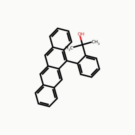 CC(C)(O)c1ccccc1-c1c2ccccc2cc2cc3ccccc3cc12